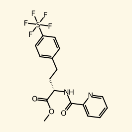 COC(=O)[C@H](CCc1ccc(S(F)(F)(F)(F)F)cc1)NC(=O)c1ccccn1